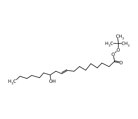 CCCCCCC(O)CC=CCCCCCCCC(=O)OOC(C)(C)C